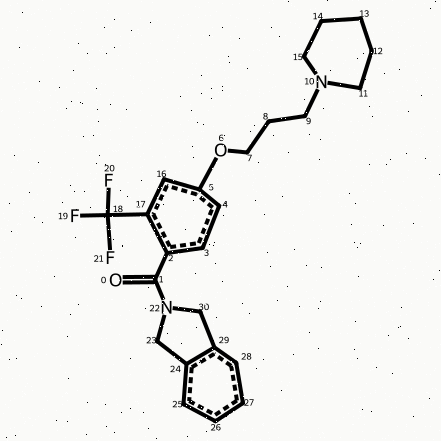 O=C(c1ccc(OCCCN2CCCCC2)cc1C(F)(F)F)N1Cc2ccccc2C1